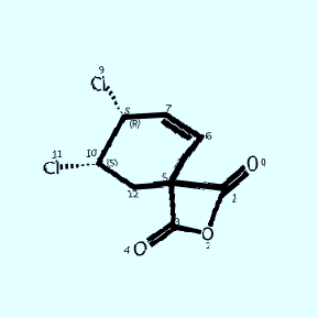 O=C1OC(=O)C12C=C[C@@H](Cl)[C@@H](Cl)C2